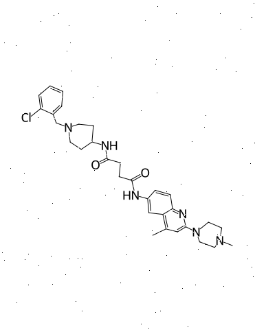 Cc1cc(N2CCN(C)CC2)nc2ccc(NC(=O)CCC(=O)NC3CCN(Cc4ccccc4Cl)CC3)cc12